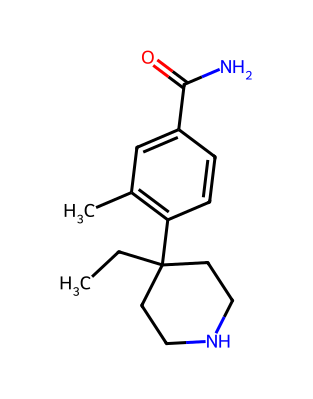 CCC1(c2ccc(C(N)=O)cc2C)CCNCC1